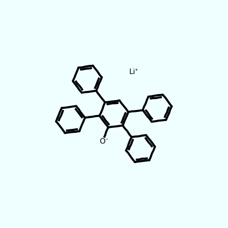 [Li+].[O-]c1c(-c2ccccc2)c(-c2ccccc2)cc(-c2ccccc2)c1-c1ccccc1